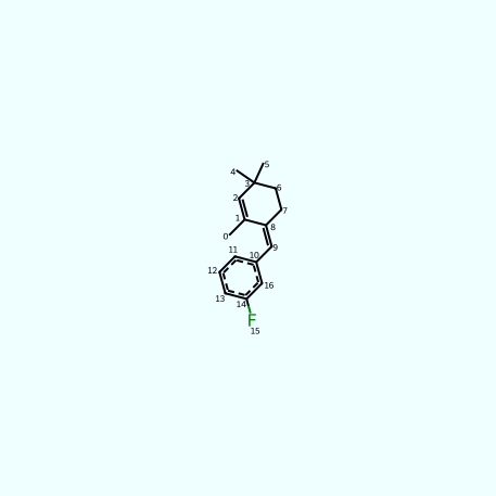 CC1=CC(C)(C)CC/C1=C/c1cccc(F)c1